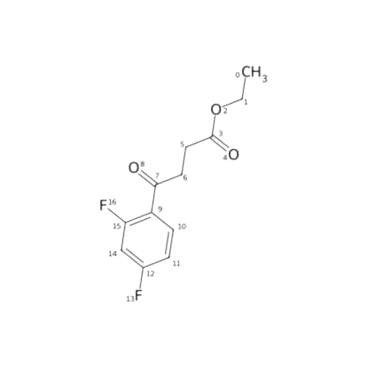 CCOC(=O)CCC(=O)c1ccc(F)cc1F